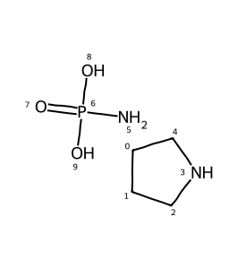 C1CCNC1.NP(=O)(O)O